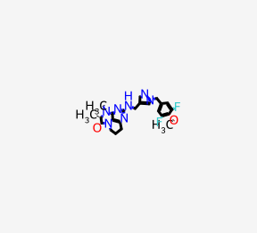 COc1c(F)cc(Cn2cc(CNc3nc4c5c(n3)N(C)[C@@H](C)C(=O)N5CCC4)cn2)cc1F